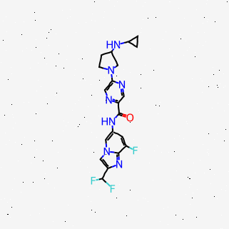 O=C(Nc1cc(F)c2nc(C(F)F)cn2c1)c1cnc(N2CCC(NC3CC3)C2)cn1